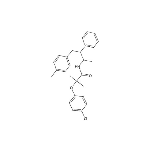 Cc1ccc(CC(c2ccccc2)C(C)NC(=O)C(C)(C)Oc2ccc(Cl)cc2)cc1